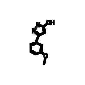 COc1cccc(C2=N[N]C(O)=C2)c1